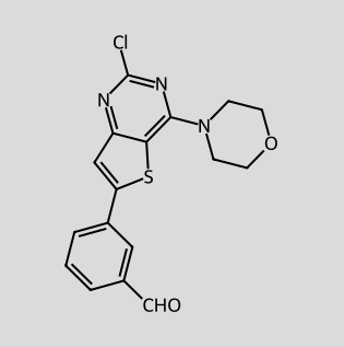 O=Cc1cccc(-c2cc3nc(Cl)nc(N4CCOCC4)c3s2)c1